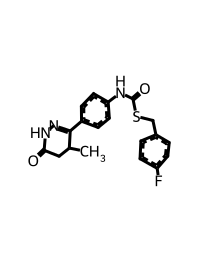 CC1CC(=O)NN=C1c1ccc(NC(=O)SCc2ccc(F)cc2)cc1